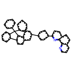 c1ccc(C2(c3ccccc3)c3ccccc3-c3ccc4cc(-c5ccc(-c6ccc7ccc8cccnc8c7n6)cc5)ccc4c32)cc1